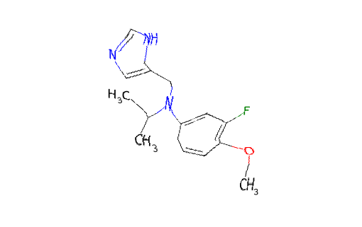 COc1ccc(N(Cc2cnc[nH]2)C(C)C)cc1F